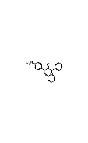 O=[N+]([O-])c1ccc(C2N=C3C=CC=CN3C(c3ccccc3)C2Cl)cc1